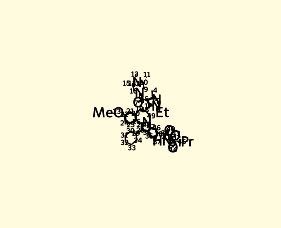 CCn1nc(C)c(C(=O)N2C[C@@H](C)N(C)[C@@H](C)C2)c1C1=Cc2cc(OC)ccc2-c2c(C3CCCCC3)c3ccc(C(=O)NS(=O)(=O)C(C)C)cc3n2C1